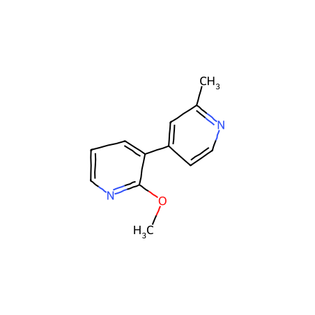 COc1ncccc1-c1ccnc(C)c1